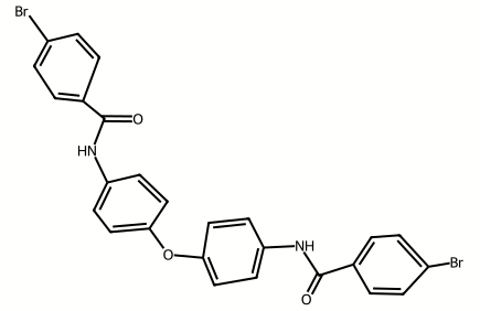 O=C(Nc1ccc(Oc2ccc(NC(=O)c3ccc(Br)cc3)cc2)cc1)c1ccc(Br)cc1